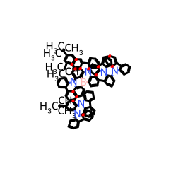 CC(C)(C)c1cc(-c2ccc3c(c2)N(c2ccccc2-c2ccccc2)c2cc(-c4ccc(C(C)(C)C)cc4C(C)(C)C)cc4c2B3c2ccc(-c3cccc(-n5c6ccccc6c6ccccc65)c3-n3c5ccccc5c5ccccc53)cc2N4c2ccccc2-c2ccccc2)c(-n2c3ccccc3c3ccccc32)c(-n2c3ccccc3c3ccccc32)c1